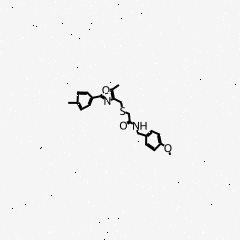 COc1ccc(CNC(=O)CSCc2nc(-c3ccc(C)cc3)oc2C)cc1